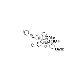 COc1ccc(S(=O)(=O)N2C(=O)C(c3ccccc3OC)(N3CC4CN(c5ccncc5)CC4C3)c3cc(Cl)ccc32)c(OC)c1